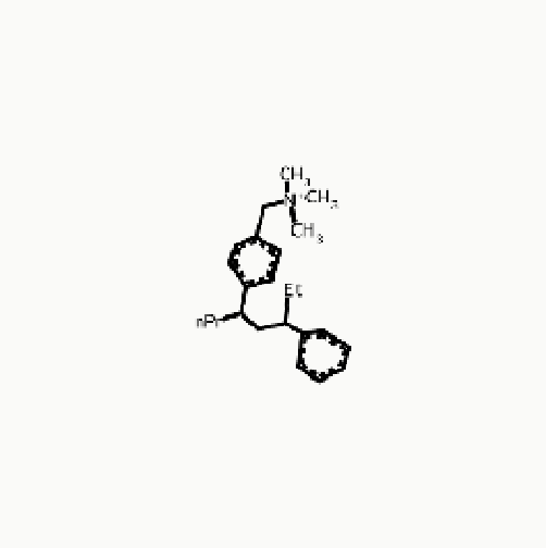 CCCC(CC(CC)c1ccccc1)c1ccc(C[N+](C)(C)C)cc1